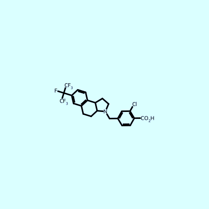 O=C(O)c1ccc(CN2CCC3c4ccc(C(F)(C(F)(F)F)C(F)(F)F)cc4CCC32)cc1Cl